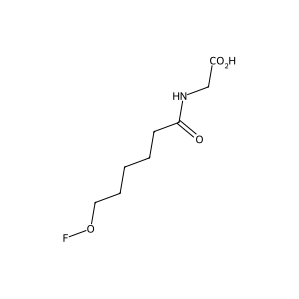 O=C(O)CNC(=O)CCCCCOF